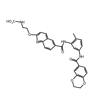 Cc1ccc(NC(=O)c2ccc3c(c2)OCCO3)cc1NC(=O)c1ccc2nc(OCCNC(=O)O)ccc2c1